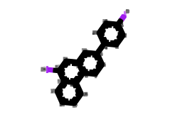 Ic1ccc(-c2ccc3c(c2)cc(I)c2ccccc23)cc1